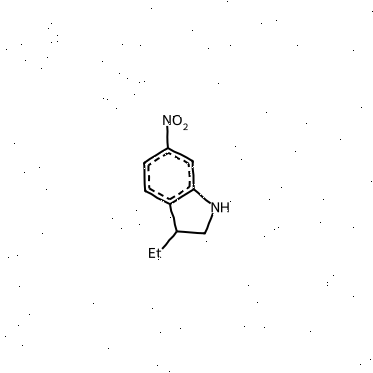 CCC1CNc2cc([N+](=O)[O-])ccc21